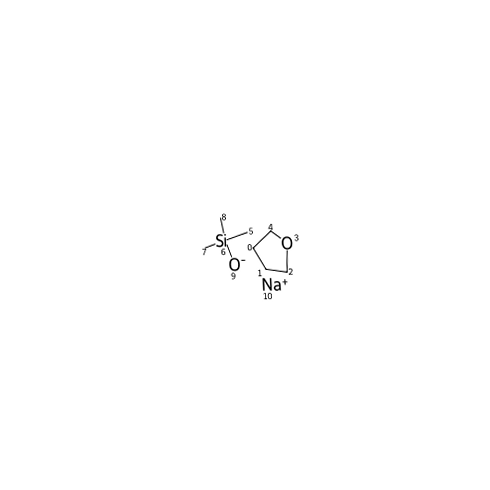 C1CCOC1.C[Si](C)(C)[O-].[Na+]